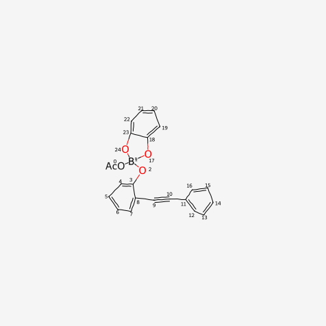 CC(=O)O[B-]1(Oc2ccccc2C#Cc2ccccc2)Oc2ccccc2O1